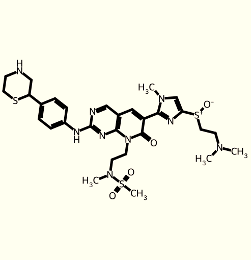 CN(C)CC[S+]([O-])c1cn(C)c(-c2cc3cnc(Nc4ccc(C5CNCCS5)cc4)nc3n(CCN(C)S(C)(=O)=O)c2=O)n1